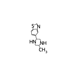 CC1CNC(c2ccc3scnc3c2)CN1